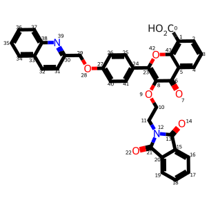 O=C(O)c1cccc2c(=O)c(OCCN3C(=O)c4ccccc4C3=O)c(-c3ccc(OCc4ccc5ccccc5n4)cc3)oc12